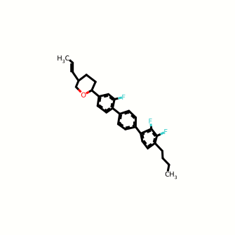 C/C=C/C1CCC(c2ccc(-c3ccc(-c4ccc(CCCC)c(F)c4F)cc3)c(F)c2)OC1